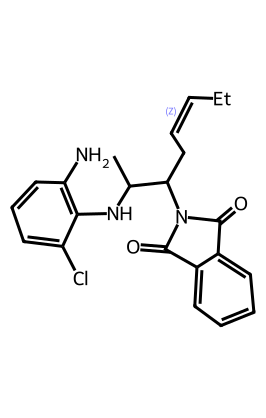 CC/C=C\CC(C(C)Nc1c(N)cccc1Cl)N1C(=O)c2ccccc2C1=O